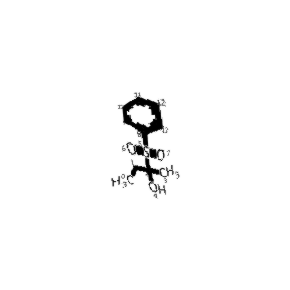 CCC(C)(O)S(=O)(=O)c1ccccc1